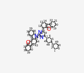 c1ccc(-c2ccc(-c3cc(-c4cccc5c4oc4ccccc45)nc(-n4c5ccccc5c5c6oc7ccccc7c6ccc54)n3)cc2)cc1